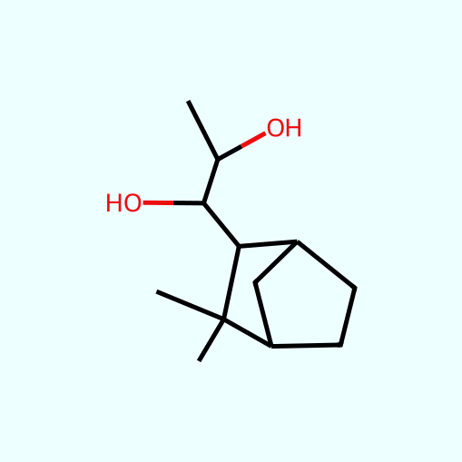 CC(O)C(O)C1C2CCC(C2)C1(C)C